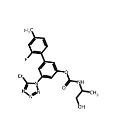 CCc1nnnn1-c1cc(OC(=O)NC(C)CO)cc(-c2ccc(C)cc2F)c1